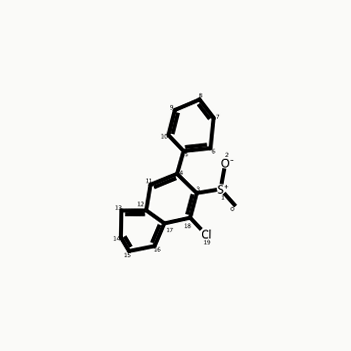 C[S+]([O-])c1c(-c2ccccc2)cc2ccccc2c1Cl